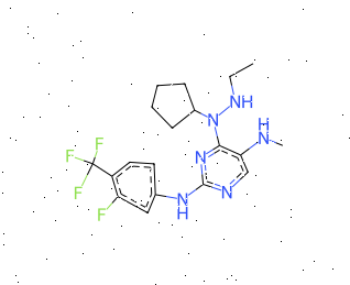 CCNN(c1nc(Nc2ccc(C(F)(F)F)c(F)c2)ncc1NC)C1CCCC1